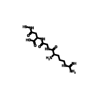 N=C(N)NCCCC(N)C(=O)NCC(=O)NC(CC(=O)NS)C(=O)O